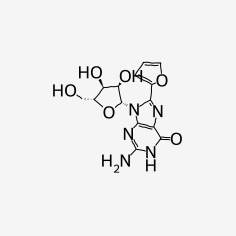 Nc1nc2c(nc(-c3ccco3)n2[C@@H]2O[C@H](CO)[C@@H](O)[C@H]2O)c(=O)[nH]1